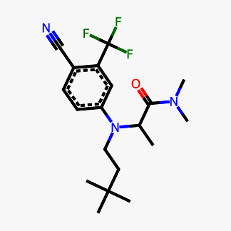 CC(C(=O)N(C)C)N(CCC(C)(C)C)c1ccc(C#N)c(C(F)(F)F)c1